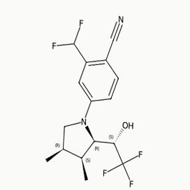 C[C@@H]1[C@H]([C@H](O)C(F)(F)F)N(c2ccc(C#N)c(C(F)F)c2)C[C@@H]1C